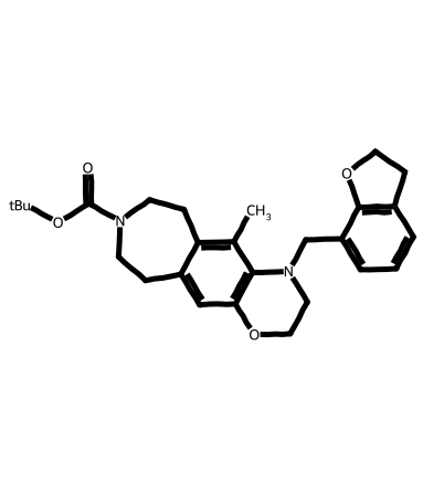 Cc1c2c(cc3c1N(Cc1cccc4c1OCC4)CCO3)CCN(C(=O)OC(C)(C)C)CC2